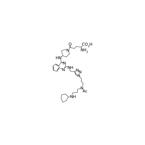 CC(=O)N(CCCNC1CCCCC1)CCCn1cc(CNc2nc(NC3CCN(C(=O)CC[C@H](N)C(=O)O)CC3)c3ccccc3n2)nn1